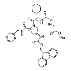 C[C@H](NCC(=O)OC(C)(C)C)C(=O)N[C@H](C(=O)N1C[C@@H](NC(=O)OCC2c3ccccc3-c3ccccc32)C[C@H]1C(=O)NCc1ccccc1)C1CCCCC1